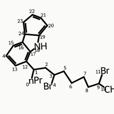 CCCC(CC(Br)CCCCC(C)Br)c1cccc2c1[nH]c1ccccc12